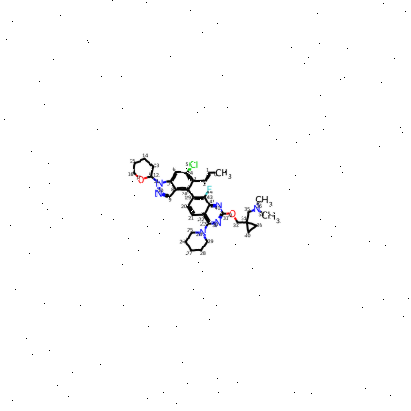 CC=Cc1c(Cl)cc2c(cnn2C2CCCCO2)c1-c1ccc2c(N3CCCCC3)nc(OCC3(CN(C)C)CC3)nc2c1F